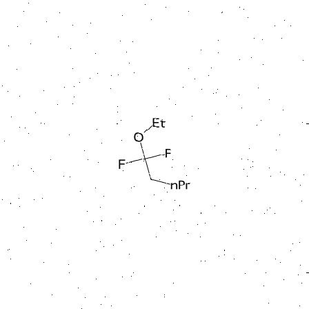 CCCCC(F)(F)OCC